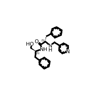 O=C(N[C@H](CO)Cc1ccccc1)[C@H](Cc1ccccc1)NCc1ccncc1